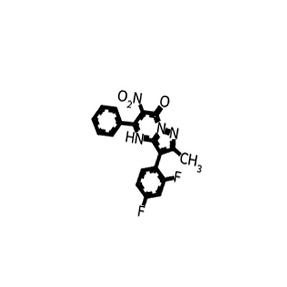 Cc1nn2c(=O)c([N+](=O)[O-])c(-c3ccccc3)[nH]c2c1-c1ccc(F)cc1F